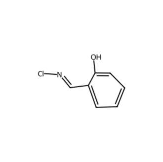 Oc1ccccc1/C=N/Cl